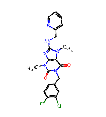 Cn1c(NCc2ccccn2)nc2c1c(=O)n(Cc1ccc(Cl)c(Cl)c1)c(=O)n2C